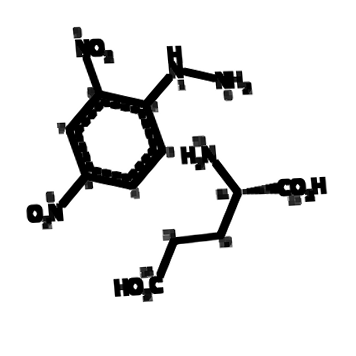 NNc1ccc([N+](=O)[O-])cc1[N+](=O)[O-].N[C@@H](CCC(=O)O)C(=O)O